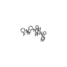 O=C1[C@H]2CN(C(=O)n3ccnc3)C[C@H]2CN1c1cccc2c1cnn2-c1ccccc1F